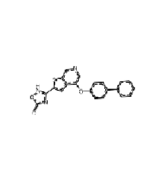 O=c1nc(-c2cc3c(Oc4ccc(-c5ccccc5)cc4)cncc3s2)[nH]o1